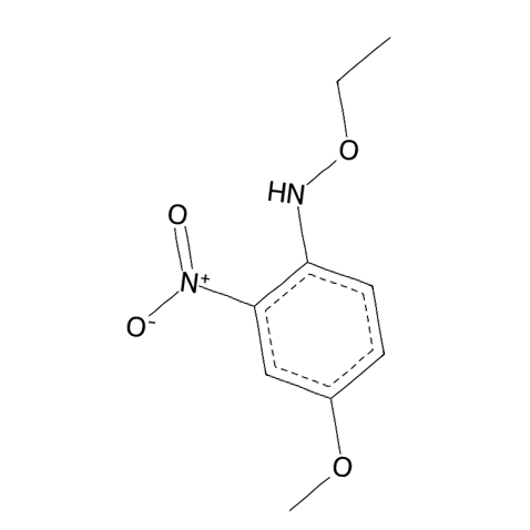 CCONc1ccc(OC)cc1[N+](=O)[O-]